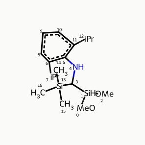 CO[SiH](OC)C(Nc1c(C(C)C)cccc1C(C)C)[Si](C)(C)C